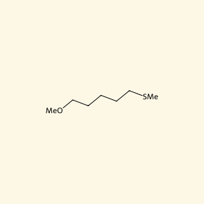 COCCCCCSC